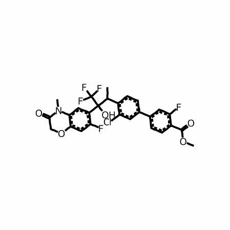 COC(=O)c1ccc(-c2ccc(C(C)C(O)(c3cc4c(cc3F)OCC(=O)N4C)C(F)(F)F)c(Cl)c2)cc1F